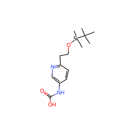 CC(C)(C)[Si](C)(C)OCCc1ccc(NC(=O)O)cn1